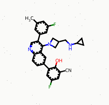 Cc1cc(F)cc(-c2cnc3ccc(-c4cc(F)cc(C#N)c4O)cc3c2N2CC(CNC3CC3)C2)c1